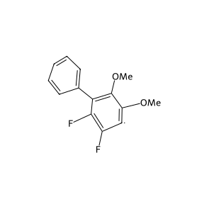 COc1[c]c(F)c(F)c(-c2ccccc2)c1OC